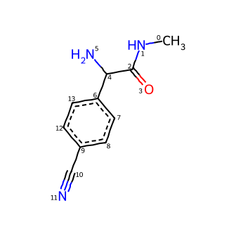 CNC(=O)C(N)c1ccc(C#N)cc1